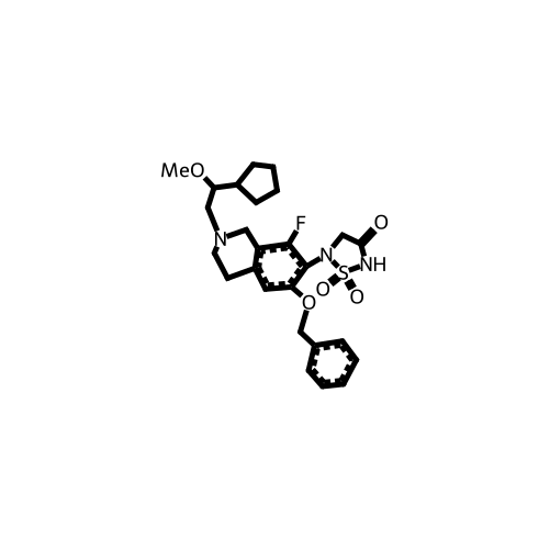 COC(CN1CCc2cc(OCc3ccccc3)c(N3CC(=O)NS3(=O)=O)c(F)c2C1)C1CCCC1